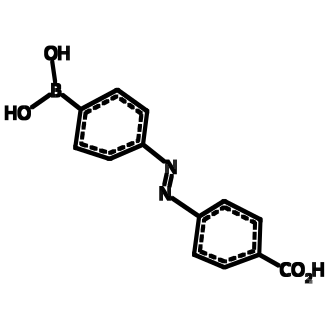 O=C(O)c1ccc(N=Nc2ccc(B(O)O)cc2)cc1